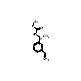 C=Cc1cccc([C@@H](C)NC(=O)OC(C)(C)C)c1